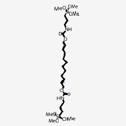 CO[Si](CCCNC(=O)OCC=CCCCCCC/C=C/COC(=O)NCCC[Si](OC)(OC)OC)(OC)OC